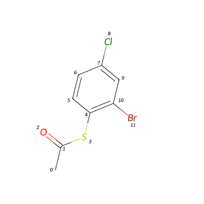 CC(=O)Sc1ccc(Cl)cc1Br